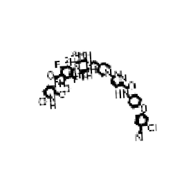 [2H]C1([2H])N(CC2CCN(c3ccc(C(=O)NC4CCC(Oc5ccc(C#N)c(Cl)c5)CC4)nn3)CC2)C([2H])([2H])C([2H])([2H])N(c2cc(F)c3c(c2F)C(=O)N(C2CCC(=O)NC2=O)C3=O)C1([2H])[2H]